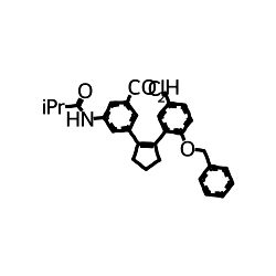 CC(C)C(=O)Nc1cc(C(=O)O)cc(C2=C(c3cc(Cl)ccc3OCc3ccccc3)CCC2)c1